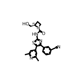 Cc1cc(-c2sc(NC(=O)N3CC[C@@H]3CO)nc2-c2cccc(C#N)c2)cc(C)n1